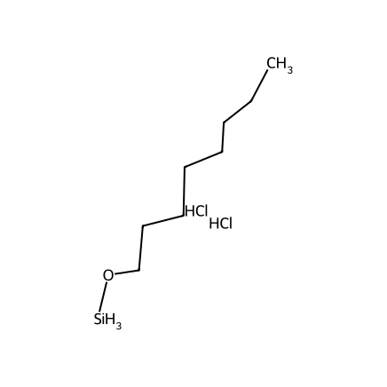 CCCCCCCCO[SiH3].Cl.Cl